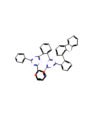 c1ccc(-c2nc(-c3ccccc3)nc(-c3ccccc3-c3nc(-c4ccccc4)nc(-c4ccccc4-c4cccc5c4sc4ccccc45)n3)n2)cc1